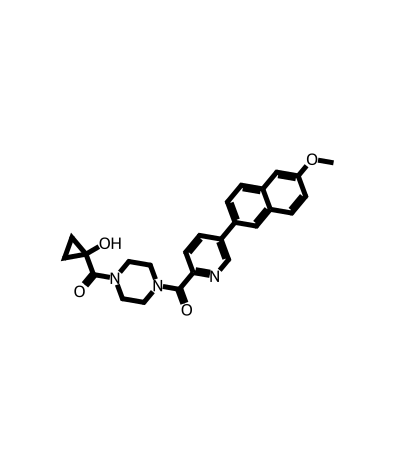 COc1ccc2cc(-c3ccc(C(=O)N4CCN(C(=O)C5(O)CC5)CC4)nc3)ccc2c1